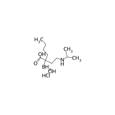 BC(CCCC)(CCNC(C)C)C(=O)O.Cl.Cl